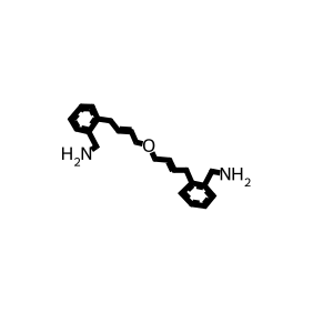 NCc1ccccc1CC=CCOCC=CCc1ccccc1CN